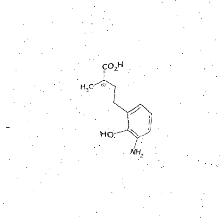 C[C@@H](CCc1cccc(N)c1O)C(=O)O